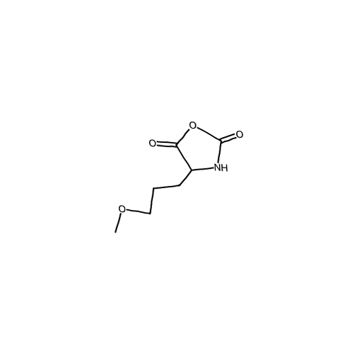 COCCCC1NC(=O)OC1=O